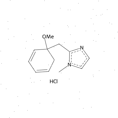 COC1(Cc2nccn2C)C=CC=CC1.Cl